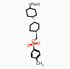 CCCCCC1CCC([C@H]2CC[C@H](COS(=O)(=O)c3ccc(C)cc3)CC2)CC1